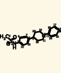 CS(=O)(=O)Nc1ccc(C2CCN(c3ccncc3)CC2)cc1